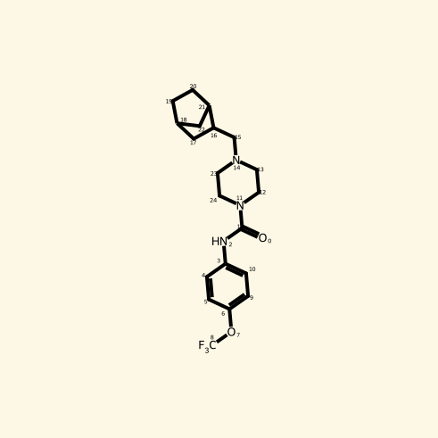 O=C(Nc1ccc(OC(F)(F)F)cc1)N1CCN(CC2CC3CCC2C3)CC1